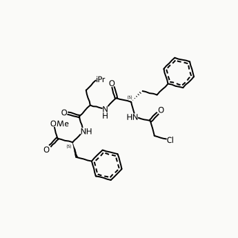 COC(=O)[C@H](Cc1ccccc1)NC(=O)C(CC(C)C)NC(=O)[C@H](CCc1ccccc1)NC(=O)CCl